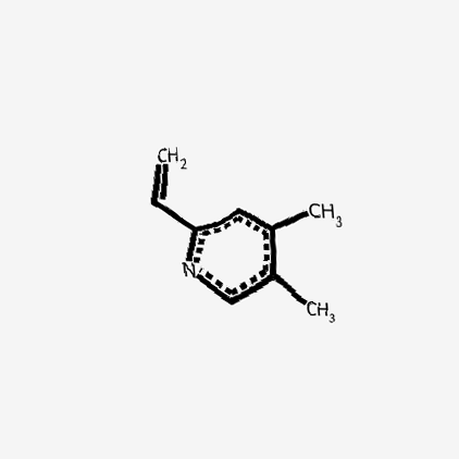 C=Cc1cc(C)c(C)cn1